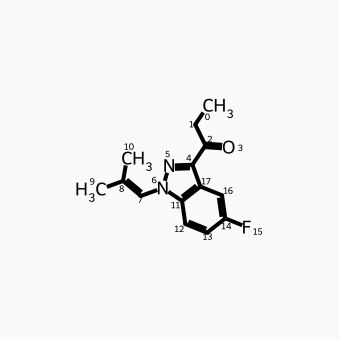 CCC(=O)c1nn(C=C(C)C)c2ccc(F)cc12